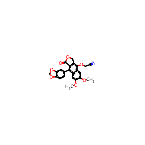 COc1cc2c(OCC#N)c3c(c(-c4ccc5c(c4)OCO5)c2cc1OC)C(=O)OC3